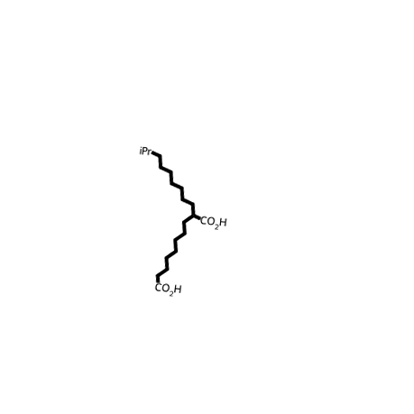 CC(C)CCCCCCCC(CCCCCCCC(=O)O)C(=O)O